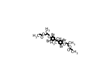 C=CC(=O)OCC(C)COc1c(Br)cc(C(C)(C)c2cc(Br)c(OCC(C)COC(=O)C=C)c(Br)c2)cc1Br